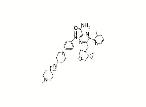 Cc1cccnc1-c1nc(C(N)=O)c(Nc2ccc(N3CCC(N4CC5(CCN(C)CC5)C4)CC3)cc2)nc1CC1CCOCC12CC2